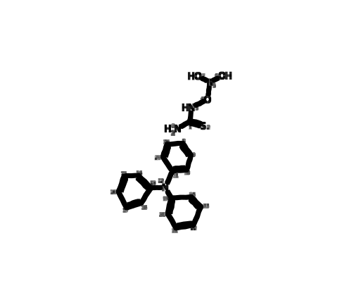 NC(=S)NOB(O)O.c1ccc(N(c2ccccc2)c2ccccc2)cc1